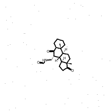 C[C@]12CCCCC1C(=O)[C@@H](CNC=O)[C@@H]1[C@@H]2CC[C@]2(C)C(=O)CC[C@@H]12